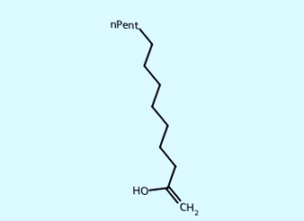 C=C(O)CCCCCCCCCCCC